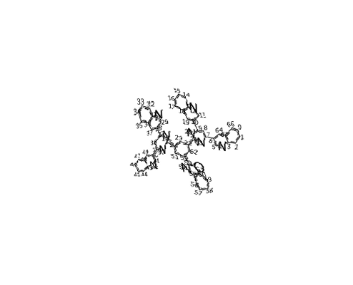 c1ccc2ncc(-c3cc(-c4cnc5ccccc5c4)nc(-c4cc(-c5nc(-c6cnc7ccccc7c6)cc(-c6cnc7ccccc7c6)n5)cc(-c5nc6ccccc6o5)c4)n3)cc2c1